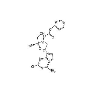 C#C[C@]1(CO)O[C@@H](n2ccc3c(N)nc(Cl)nc32)C[C@@H]1OC(=O)Oc1ccccc1